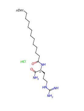 CCCCCCCCCCCCCCCCCCCCCC(=O)N[C@@H](CCCNC(=N)N)C(N)=O.Cl